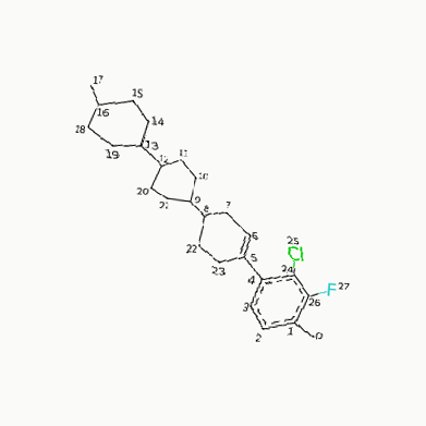 Cc1ccc(C2=CCC(C3CCC(C4CCC(C)CC4)CC3)CC2)c(Cl)c1F